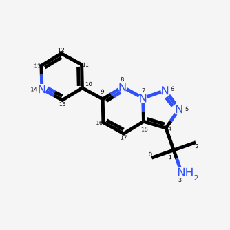 CC(C)(N)c1nnn2nc(-c3cccnc3)ccc12